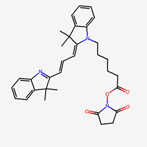 CC1(C)C(C=CC=C2N(CCCCCC(=O)ON3C(=O)CCC3=O)c3ccccc3C2(C)C)=Nc2ccccc21